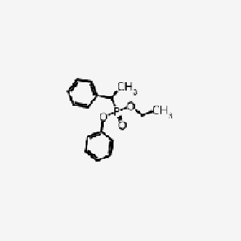 CCOP(=O)(Oc1ccccc1)C(C)c1ccccc1